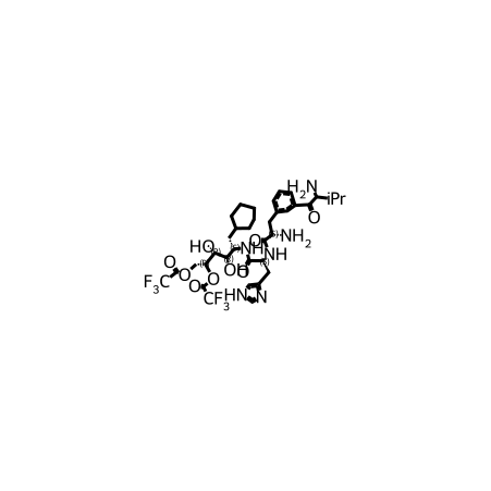 CC(C)C(N)C(=O)c1cccc(C[C@H](N)C(=O)N[C@@H](Cc2c[nH]cn2)C(=O)N[C@@H](CC2CCCCC2)[C@@H](O)[C@@H](O)[C@@H](COC(=O)C(F)(F)F)OC(=O)C(F)(F)F)c1